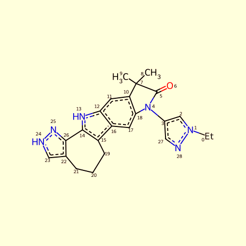 CCn1cc(N2C(=O)C(C)(C)c3cc4[nH]c5c(c4cc32)CCCc2c[nH]nc2-5)cn1